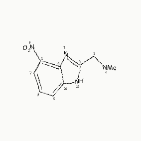 CNCc1nc2c([N+](=O)[O-])cccc2[nH]1